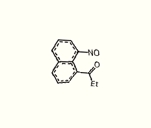 CCC(=O)c1cccc2cccc(N=O)c12